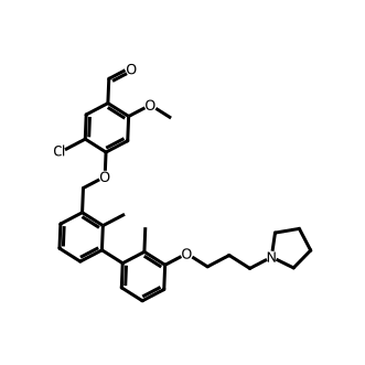 COc1cc(OCc2cccc(-c3cccc(OCCCN4CCCC4)c3C)c2C)c(Cl)cc1C=O